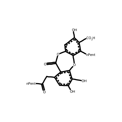 CCCCCC(=O)Cc1cc(O)c(O)c2c1C(=O)Oc1cc(O)c(C(=O)O)c(CCCCC)c1O2